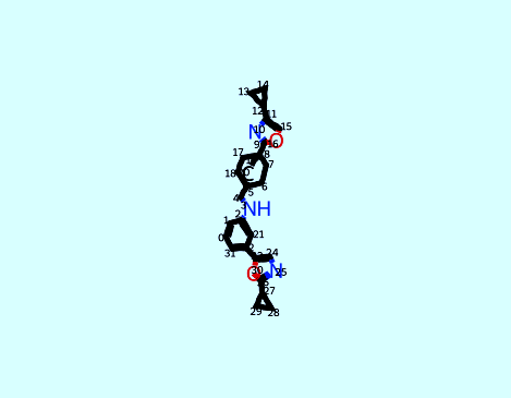 c1cc(NCC23CCC(c4nc(C5CC5)co4)(CC2)CC3)cc(-c2cnc(C3CC3)o2)c1